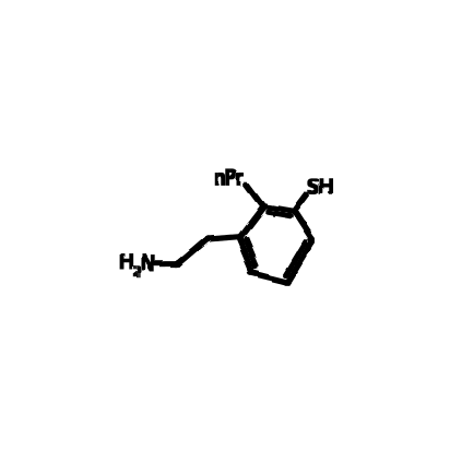 CCCc1c(S)cccc1CCN